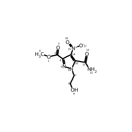 COC(=O)c1nn(CCO)c(C(N)=O)c1[N+](=O)[O-]